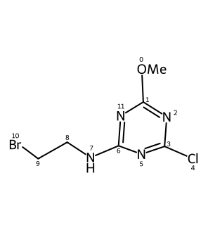 COc1nc(Cl)nc(NCCBr)n1